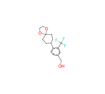 OCc1ccc(C2CCC3(CC2)OCCO3)c(C(F)(F)F)c1